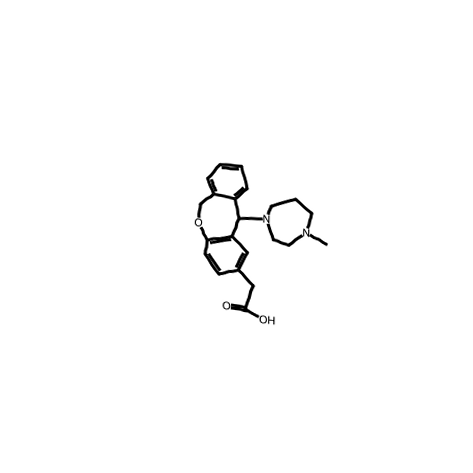 CN1CCCN(C2c3ccccc3COc3ccc(CC(=O)O)cc32)CC1